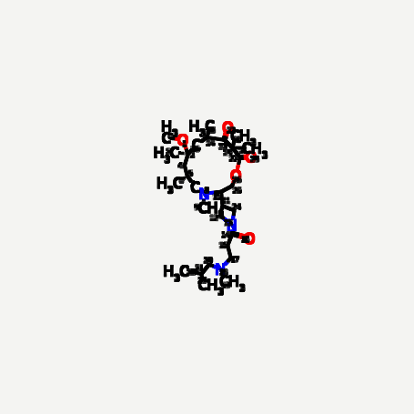 CO[C@]1(C)C[C@@H](C)CN(C)C(C2CN(C(=O)CCN(C)CC(C)C)C2)COC(=O)C(C)(C)C(=O)[C@H](C)C1